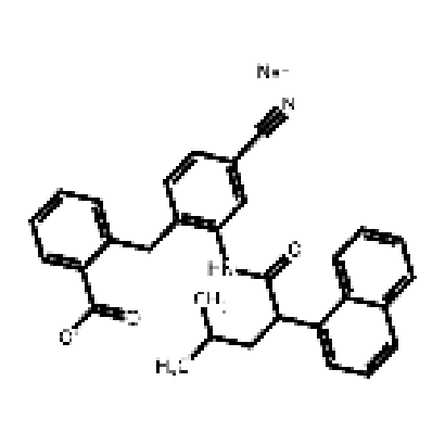 CC(C)CC(C(=O)Nc1cc(C#N)ccc1Cc1ccccc1C(=O)[O-])c1cccc2ccccc12.[Na+]